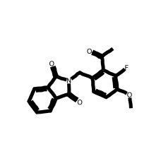 COc1ccc(CN2C(=O)c3ccccc3C2=O)c(C(C)=O)c1F